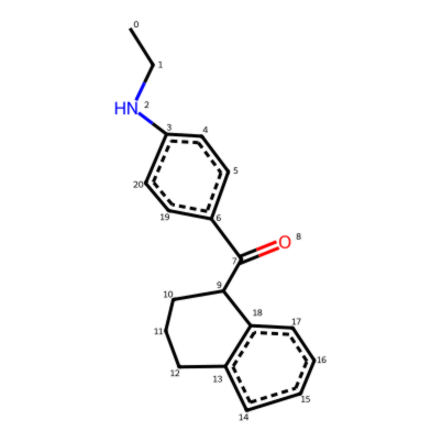 CCNc1ccc(C(=O)C2CCCc3ccccc32)cc1